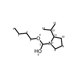 CCCCOC(O)N1CCCC1C(C)C